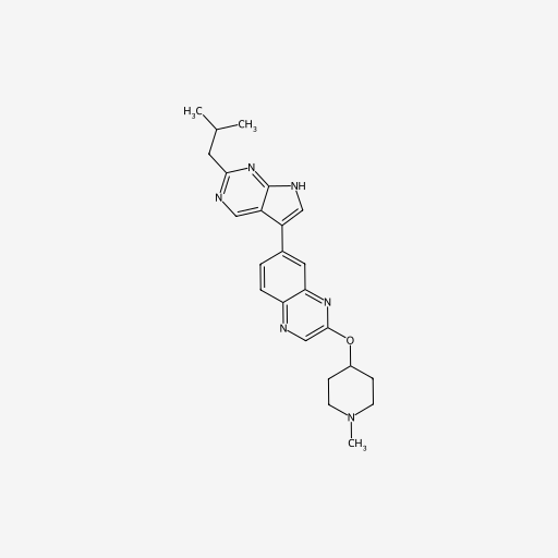 CC(C)Cc1ncc2c(-c3ccc4ncc(OC5CCN(C)CC5)nc4c3)c[nH]c2n1